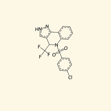 O=S(=O)(c1ccc(Cl)cc1)N1c2ccccc2-c2n[nH]cc2C1C(F)(F)F